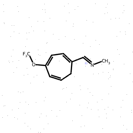 C/N=C/C1=CC=C(OC(F)(F)F)C=CC1